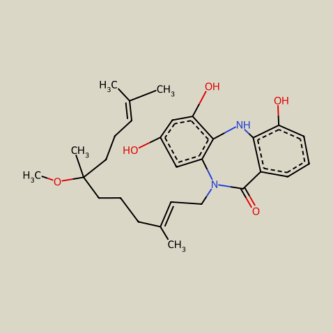 COC(C)(CCC=C(C)C)CCC/C(C)=C/CN1C(=O)c2cccc(O)c2Nc2c(O)cc(O)cc21